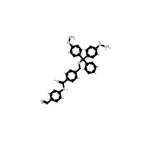 COc1ccc(C(OCc2ccc(C(=O)Sc3ccc(C=O)cc3)cc2)(c2ccccc2)c2ccc(OC)cc2)cc1